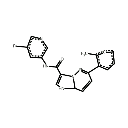 O=C(Nc1cncc(F)c1)C1=CNC2C=CC(c3ccccc3C(F)(F)F)=NN12